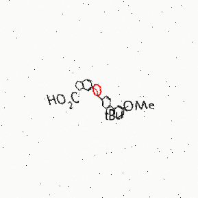 COc1cccc(-c2ccc(COc3ccc4c(c3)[C@H](CC(=O)O)CC4)cc2C(C)(C)C)c1